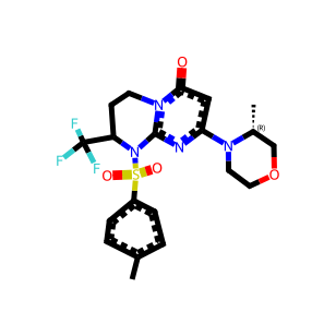 Cc1ccc(S(=O)(=O)N2c3nc(N4CCOC[C@H]4C)cc(=O)n3CCC2C(F)(F)F)cc1